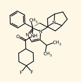 Cc1ncc(C(C)C)n1C1CC2CCC(C1)N2CC[C@H](NC(=O)C1CCC(F)(F)CC1)c1ccccc1